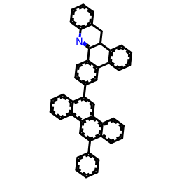 c1ccc(-c2cc3c4ccccc4c(-c4ccc5c(c4)-c4ccccc4C4Cc6ccccc6N=C54)cc3c3ccccc23)cc1